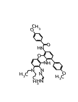 CCN(CC)c1ccc2c(c1N=NC=N)Nc1c(-c3ccc(OC)cc3)ccc(NC(=O)c3ccc(OC)cc3)c1O2